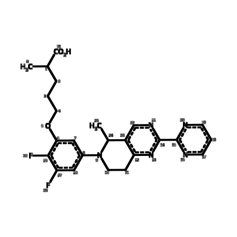 CC(CCCOc1cc(N2CCc3nc(-c4ncccn4)ncc3C2C)cc(F)c1F)C(=O)O